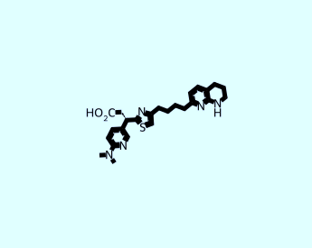 CN(C)c1ccc([C@H](CC(=O)O)c2nc(CCCCc3ccc4c(n3)NCCC4)cs2)cn1